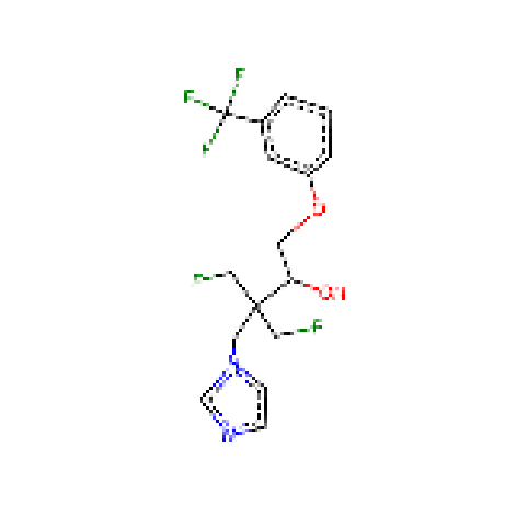 OC(COc1cccc(C(F)(F)F)c1)C(CF)(CF)Cn1ccnc1